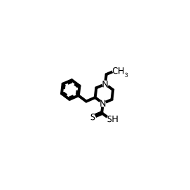 CCN1CCN(C(=S)S)C(Cc2ccccc2)C1